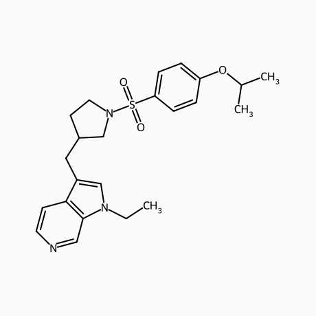 CCn1cc(CC2CCN(S(=O)(=O)c3ccc(OC(C)C)cc3)C2)c2ccncc21